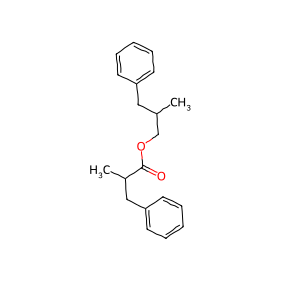 CC(COC(=O)C(C)Cc1ccccc1)Cc1ccccc1